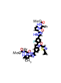 COC(=O)NC(C(=O)N1CCC[C@H]1c1ncc(-c2cc(F)c3c(c2)OC(c2cnc(C4CC4)s2)n2c-3cc3cc(-c4cnc([C@@H]5CC6(C)CC6N5C(=O)C(NC(=O)OC)C(C)C)[nH]4)ccc32)[nH]1)C(C)C